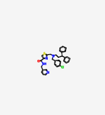 O=C(NCc1cccnc1)c1csc(CN(CCC(c2ccccc2)c2ccccc2)Cc2ccc(Cl)cc2)n1